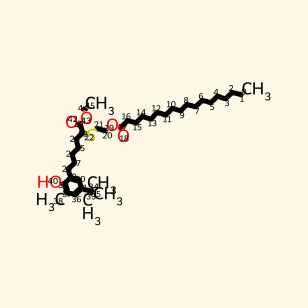 CCCCCCCCCCCCCCCCCC(=O)OCCSC(CCCCCc1cc(C(C)(C)C)cc(C)c1O)C(=O)OCC